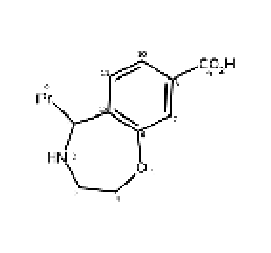 CC(C)C1NCCOc2cc(C(=O)O)ccc21